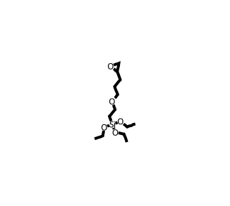 CCO[Si](CCOCCCC1CO1)(OCC)OCC